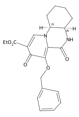 CCOC(=O)c1cn2c(c(OCc3ccccc3)c1=O)C(=O)N[C@@H]1CCCC[C@@H]12